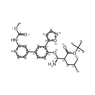 COC(=O)Nc1cc(-c2ccc(O[C@H](N)C(CC(C)C)C(=O)OC(C)(C)C)c(-c3ccno3)c2)ccn1